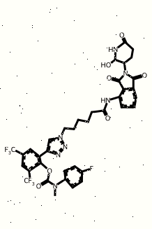 CN(C(=O)Oc1c(-c2cn(CCCCCC(=O)Nc3cccc4c3C(=O)N(C3CCC(=O)NC3O)C4=O)nn2)cc(C(F)(F)F)cc1C(F)(F)F)c1ccc(F)cc1